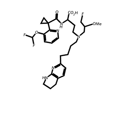 COC(CF)CN(CCCCc1ccc2c(n1)NCCC2)CCC(NC(=O)C1(c2ncccc2OC(F)F)CC1)C(=O)O